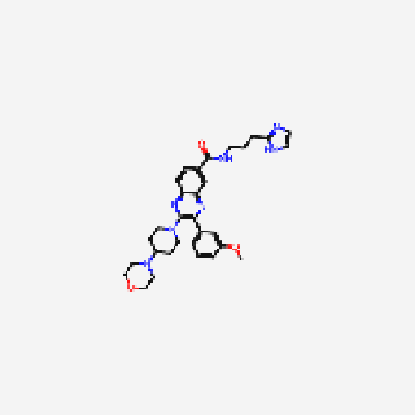 COc1cccc(-c2nc3cc(C(=O)NCCCc4ncc[nH]4)ccc3nc2N2CCC(N3CCOCC3)CC2)c1